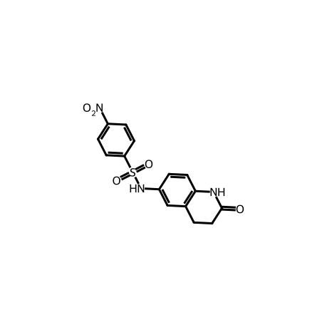 O=C1CCc2cc(NS(=O)(=O)c3ccc([N+](=O)[O-])cc3)ccc2N1